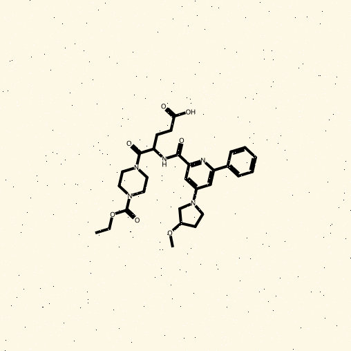 CCOC(=O)N1CCN(C(=O)C(CCC(=O)O)NC(=O)c2cc(N3CCC(OC)C3)cc(-c3ccccc3)n2)CC1